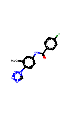 COc1cc(NC(=O)c2ccc(Cl)cc2)ccc1-n1cnnn1